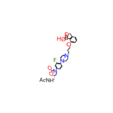 CC(=O)NC[C@H]1CN(c2ccc(N3CCN(CCCOc4cccc5c4B(O)OC5)CC3)c(F)c2)C(=O)O1